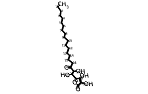 CCCCCCCCCCCCCCCCCC(=O)C(O)[C@H](O)[C@H]1OC(=O)C(O)=C1O